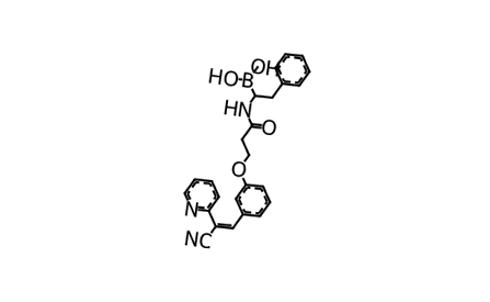 N#CC(=Cc1cccc(OCCC(=O)NC(Cc2ccccc2)B(O)O)c1)c1ccccn1